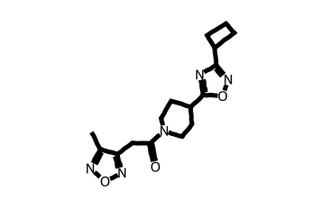 Cc1nonc1CC(=O)N1CCC(c2nc(C3CCC3)no2)CC1